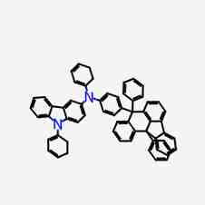 C1=CCCC(N(c2ccc(C3(c4ccccc4)c4ccccc4C4(c5ccccc5)c5ccccc5-c5cccc3c54)cc2)c2ccc3c(c2)c2ccccc2n3C2=CC=CCC2)=C1